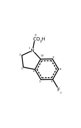 O=C(O)N1CCc2cc(F)ccc21